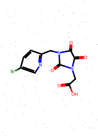 O=C(O)CN1C(=O)C(=O)N(Cc2ccc(Br)cn2)C1=O